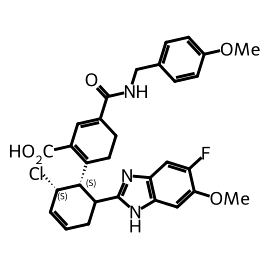 COc1ccc(CNC(=O)C2=CC(C(=O)O)=C([C@@H]3C(c4nc5cc(F)c(OC)cc5[nH]4)CC=C[C@@H]3Cl)CC2)cc1